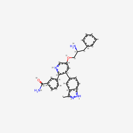 Cc1n[nH]c2ccc(-c3cc(OC[C@@H](N)Cc4ccccc4)cnc3-c3cccc(C(N)=O)c3)cc12